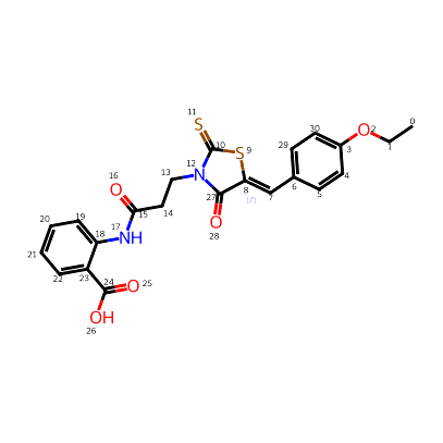 CCOc1ccc(/C=C2\SC(=S)N(CCC(=O)Nc3ccccc3C(=O)O)C2=O)cc1